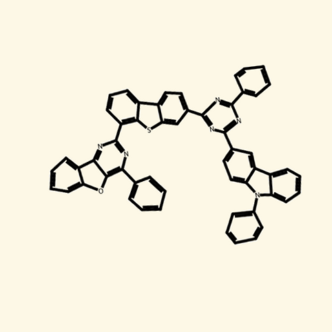 c1ccc(-c2nc(-c3ccc4c(c3)sc3c(-c5nc(-c6ccccc6)c6oc7ccccc7c6n5)cccc34)nc(-c3ccc4c(c3)c3ccccc3n4-c3ccccc3)n2)cc1